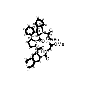 COC(=O)CNC(=O)[C@H]1Cc2ccccc2CN1C(=O)[C@H]1CC[C@@H](c2ccccc2)N1C(=O)[C@H]1Cc2ccccc2N1C(=O)OC(C)(C)C